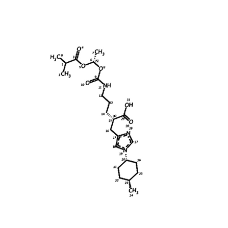 CC(C)C(=O)O[C@H](C)OC(=O)NCCC[C@@H](Cc1cn([C@H]2CC[C@H](C)CC2)cn1)C(=O)O